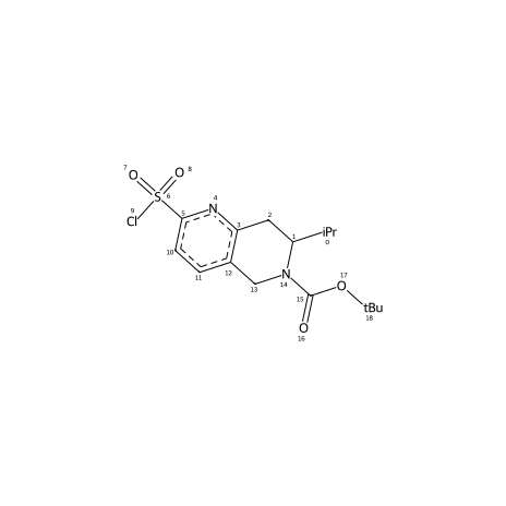 CC(C)C1Cc2nc(S(=O)(=O)Cl)ccc2CN1C(=O)OC(C)(C)C